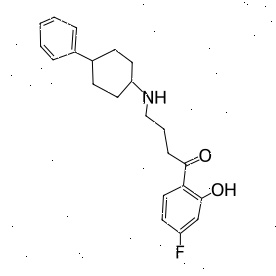 O=C(CCCNC1CCC(c2ccccc2)CC1)c1ccc(F)cc1O